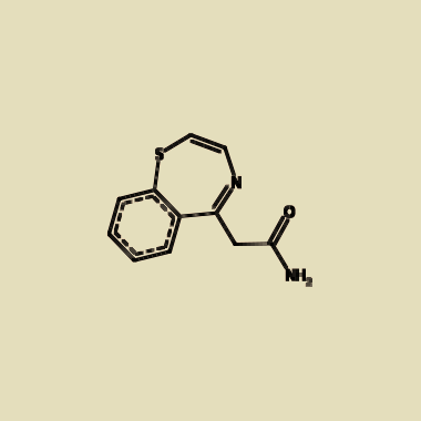 NC(=O)CC1=NC=CSc2ccccc21